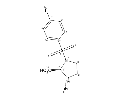 CC(C)[C@H]1CCN(S(=O)(=O)c2ccc(F)cc2)[C@@H]1C(=O)O